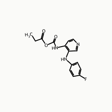 CCC(=O)OC(=O)Nc1ccncc1Nc1ccc(F)cc1